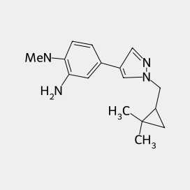 CNc1ccc(-c2cnn(CC3CC3(C)C)c2)cc1N